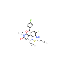 CCCCSNC(CC)c1cc(=O)n(C)cc1-c1cc(N)c(F)cc1C(=O)c1ccc(F)cc1